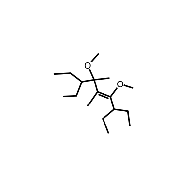 CCC(CC)/C(OC)=C(\C)C(C)(OC)C(CC)CC